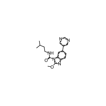 COc1nc2ccc(-c3cncnc3)cc2n1C(=O)NCCC(C)C